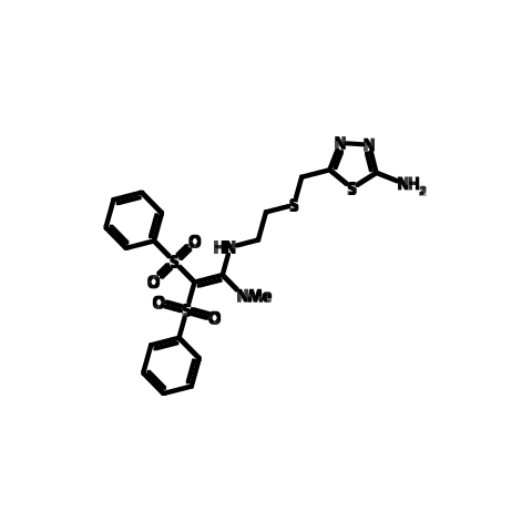 CNC(NCCSCc1nnc(N)s1)=C(S(=O)(=O)c1ccccc1)S(=O)(=O)c1ccccc1